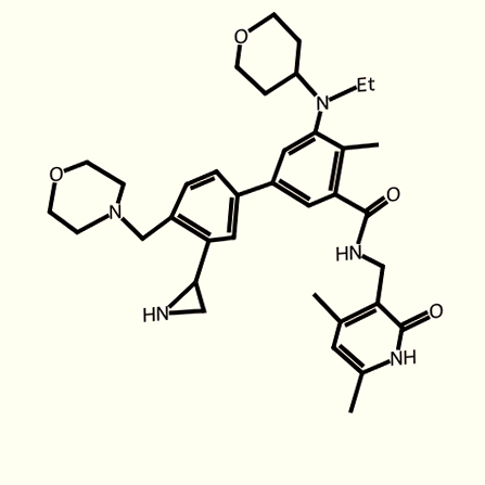 CCN(c1cc(-c2ccc(CN3CCOCC3)c(C3CN3)c2)cc(C(=O)NCc2c(C)cc(C)[nH]c2=O)c1C)C1CCOCC1